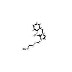 CCCCCCCCCCCCCC[n+]1ccn(Cc2ccccc2)c1CCC